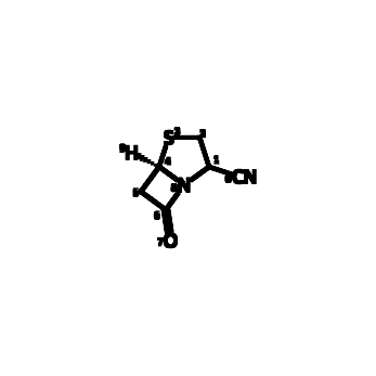 N#CC1CS[C@@H]2CC(=O)N12